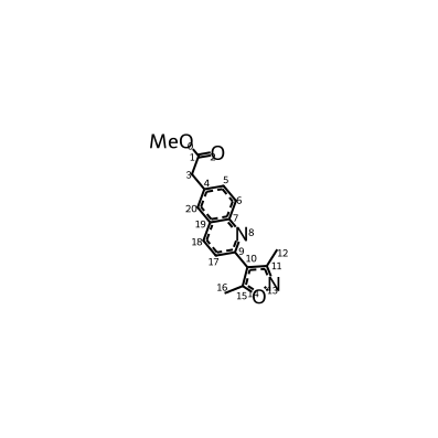 COC(=O)Cc1ccc2nc(-c3c(C)noc3C)ccc2c1